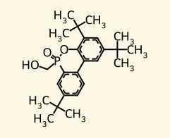 CC(C)(C)c1cc2c(c(C(C)(C)C)c1)OP(=O)(CO)c1cc(C(C)(C)C)ccc1-2